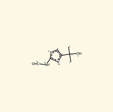 CC(C)(O)c1csc(N[C]=O)n1